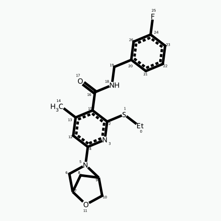 CCSc1nc(N2CC3CC2CO3)cc(C)c1C(=O)NCc1cccc(F)c1